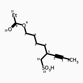 CC#CC(CCCCOC(=O)CC)CS(=O)(=O)O